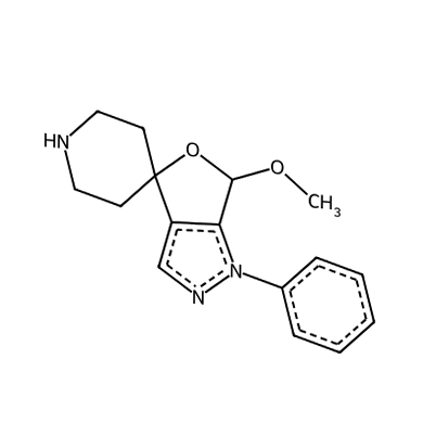 COC1OC2(CCNCC2)c2cnn(-c3ccccc3)c21